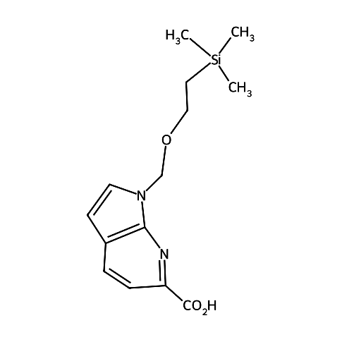 C[Si](C)(C)CCOCn1ccc2ccc(C(=O)O)nc21